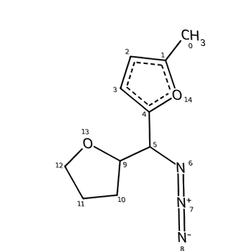 Cc1ccc(C(N=[N+]=[N-])C2CCCO2)o1